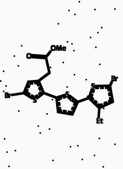 CCc1cc(Br)sc1-c1ccc(-c2sc(Br)cc2CC(=O)OC)s1